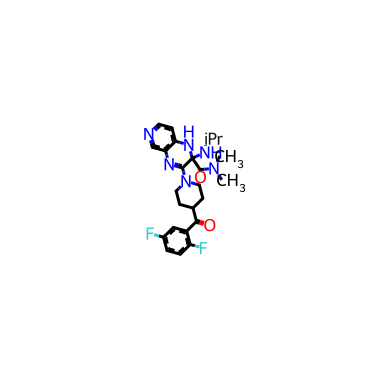 CC(C)NC1(C(=O)N(C)C)Nc2ccncc2N=C1N1CCC(C(=O)c2cc(F)ccc2F)CC1